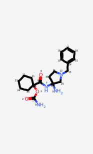 NC(=O)OC1(C(=O)NC2(N)CCN(Cc3ccccc3)C2)CCCCC1